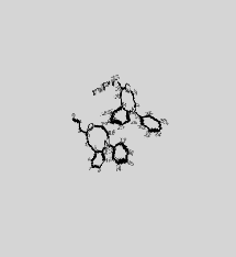 C=CCC1Cc2ccccc2N(c2ccccc2)CCO1.CCCC1Cc2ccccc2N(c2ccccc2)CCO1